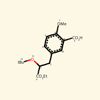 CCOC(=O)C(Cc1ccc(OC)c(C(=O)O)c1)OC(C)(C)C